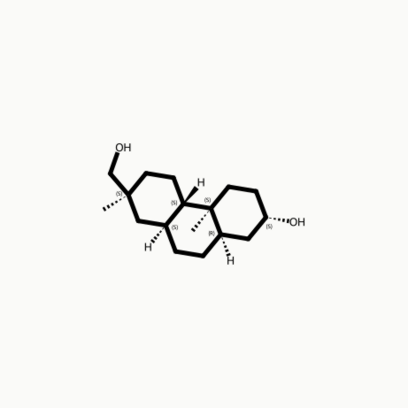 C[C@]1(CO)CC[C@H]2[C@@H](CC[C@@H]3C[C@@H](O)CC[C@@]32C)C1